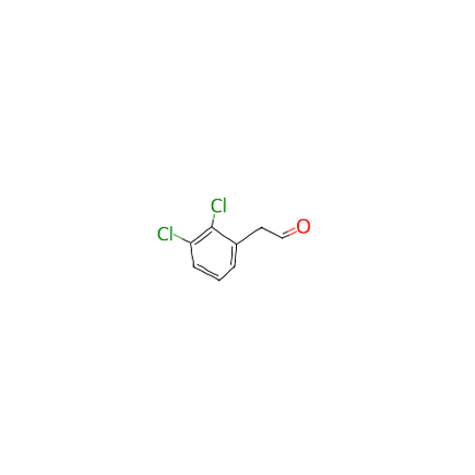 O=CCc1cccc(Cl)c1Cl